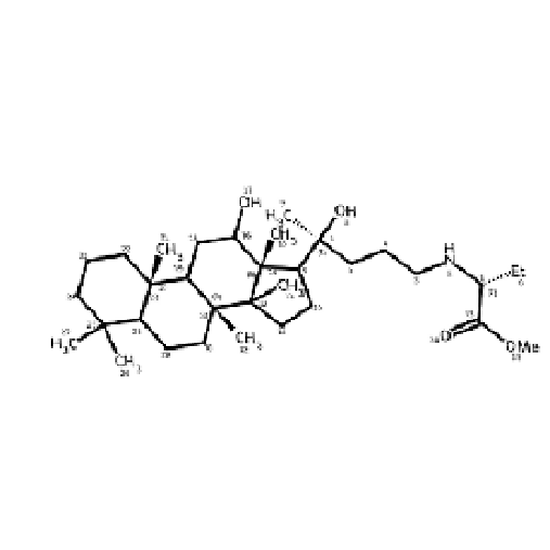 CC[C@@H](NCCC[C@](C)(O)C1CCC2(C)[C@]1(C)C(O)CC1[C@@]3(C)CCCC(C)(C)C3CC[C@]12C)C(=O)OC